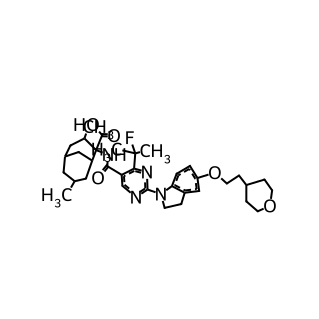 CC1CC2CC(C)C(NC(=O)c3cnc(N4CCc5cc(OCCC6CCOCC6)ccc54)nc3C(C)(C)F)(C(=O)O)C(C1)C2